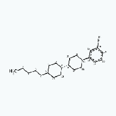 CCCCCC1CCC([C@H]2CC[C@H](c3cccc(F)c3)CC2)CC1